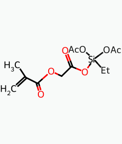 C=C(C)C(=O)OCC(=O)O[Si](CC)(OC(C)=O)OC(C)=O